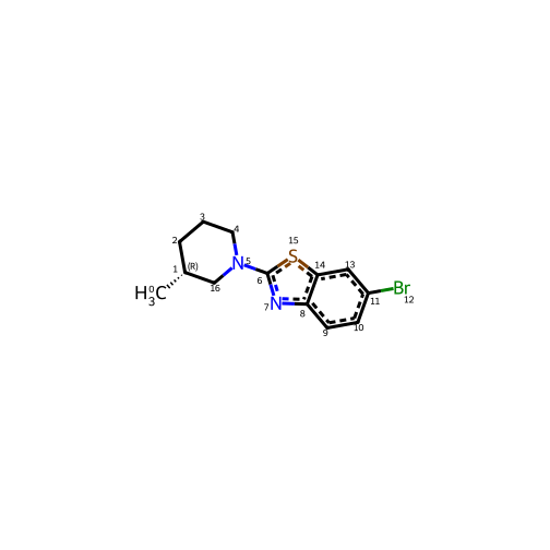 C[C@@H]1CCCN(c2nc3ccc(Br)cc3s2)C1